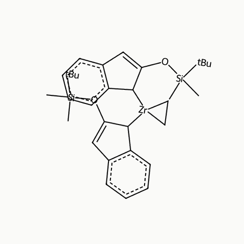 CC(C)(C)[Si](C)(C)OC1=Cc2ccccc2[CH]1[Zr]1([CH]2C(O[Si](C)(C)C(C)(C)C)=Cc3ccccc32)[CH2][CH2]1